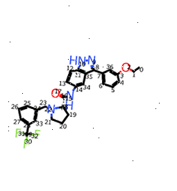 CCOc1cccc(-c2n[nH]c3ccc(NC(=O)[C@@H]4CCCN4Cc4cccc(C(F)(F)F)c4)cc23)c1